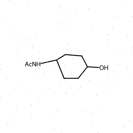 CC(=O)NC1CCC(O)CC1